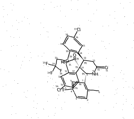 Cc1ccc(F)cc1[C@H]1NC(=O)C[C@H](c2cc(Cl)ccc2OCC(F)(F)F)[C@@]12C(=O)Nc1cc(Cl)ccc12